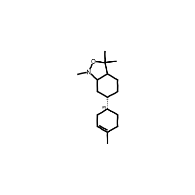 CC1=CC[C@H](C2CCC3C(C2)N(C)OC3(C)C)CC1